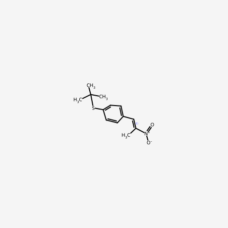 C/C(=C\c1ccc(SC(C)(C)C)cc1)[N+](=O)[O-]